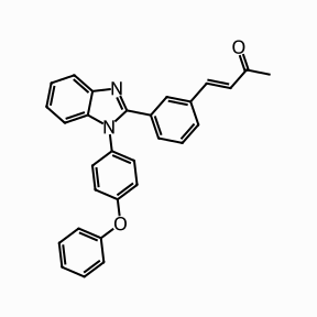 CC(=O)/C=C/c1cccc(-c2nc3ccccc3n2-c2ccc(Oc3ccccc3)cc2)c1